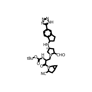 CC(C)(C)OC(=O)NC(CN1C[C@@H](NC2CCc3cc(-c4nnn[nH]4)ccc32)CC1C=O)C(=O)N1C(C#N)CC2CC21